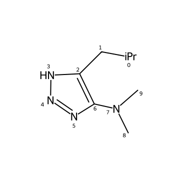 CC(C)Cc1[nH]nnc1N(C)C